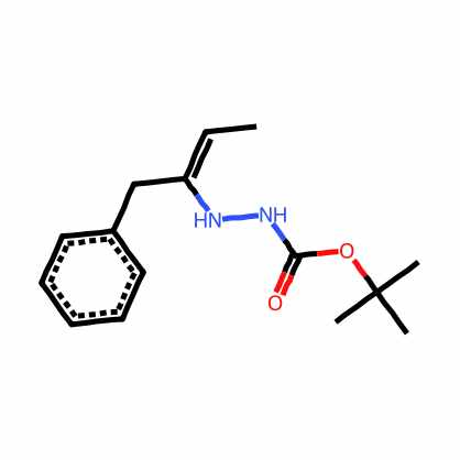 CC=C(Cc1ccccc1)NNC(=O)OC(C)(C)C